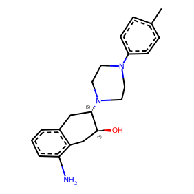 Cc1ccc(N2CCN([C@H]3Cc4cccc(N)c4C[C@@H]3O)CC2)cc1